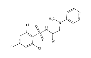 CC(C)C(CN(C)c1ccccc1)NS(=O)(=O)c1c(Cl)cc(Cl)cc1Cl